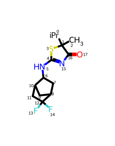 CC(C)C1(C)SC(NC2CC3CC2CC3(F)F)=NC1=O